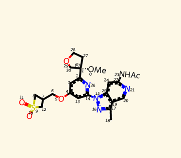 CO[C@@]1(c2cc(OCC3CS(=O)(=O)C3)cc(-n3nc(C)c4cnc(NC(C)=O)cc43)n2)CCOC1